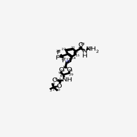 CC(C)(C)OC(=O)NC1COC(/C=C/c2cc(C(=O)NN)ccc2C(F)(F)F)OC1